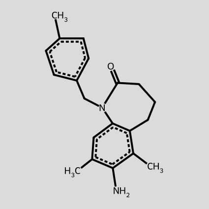 Cc1ccc(CN2C(=O)CCCc3c2cc(C)c(N)c3C)cc1